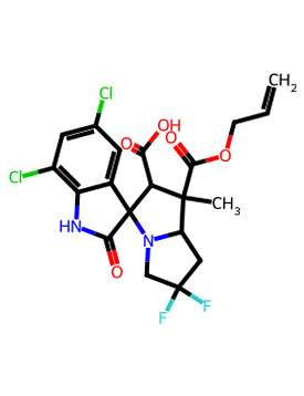 C=CCOC(=O)C1(C)C2CC(F)(F)CN2C2(C(=O)Nc3c(Cl)cc(Cl)cc32)C1C(=O)O